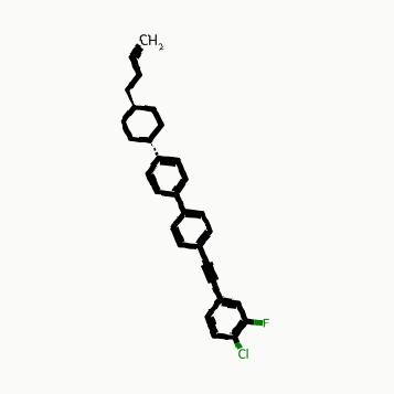 C=CCC[C@H]1CC[C@H](c2ccc(-c3ccc(C#Cc4ccc(Cl)c(F)c4)cc3)cc2)CC1